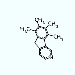 Cc1c(C)c(C)c2c(c1C)Cc1ccncc1-2